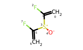 C=C(F)[S+]([O-])C(=C)F